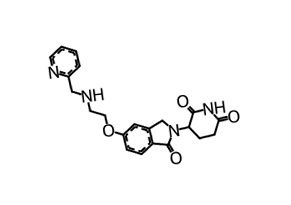 O=C1CCC(N2Cc3cc(OCCNCc4ccccn4)ccc3C2=O)C(=O)N1